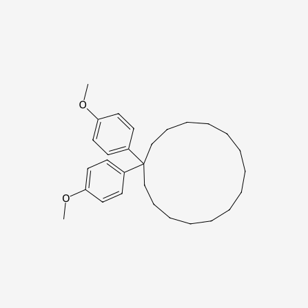 COc1ccc(C2(c3ccc(OC)cc3)CCCCCCCCCCCCCC2)cc1